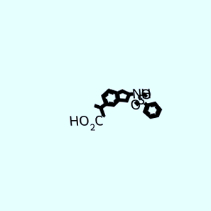 CC(CC(=O)O)c1ccc2c(c1)CC(NS(=O)(=O)c1ccccc1)C2